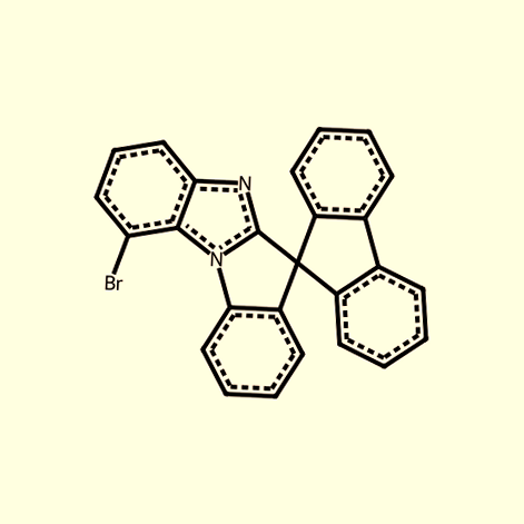 Brc1cccc2nc3n(c12)-c1ccccc1C31c2ccccc2-c2ccccc21